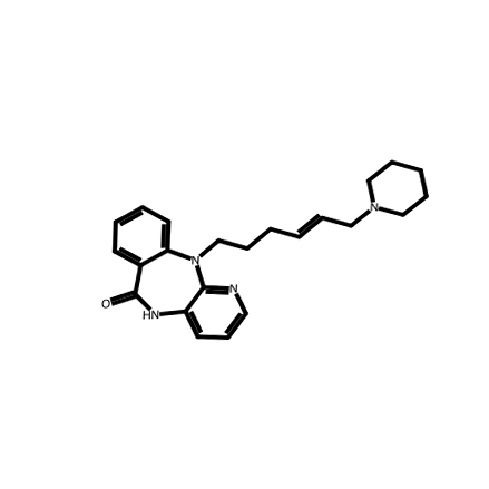 O=C1Nc2cccnc2N(CCCC=CCN2CCCCC2)c2ccccc21